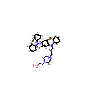 OCCN1CCN(CCCN2c3ccccc3Sc3ccc(C(F)(F)F)cc32)CC1.c1ccc2c(c1)Nc1ccccc1S2